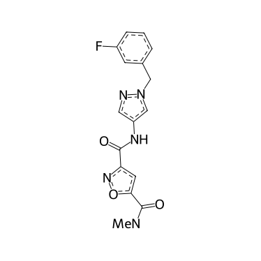 CNC(=O)c1cc(C(=O)Nc2cnn(Cc3cccc(F)c3)c2)no1